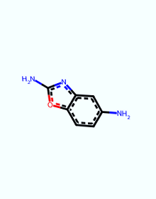 Nc1ccc2oc(N)nc2c1